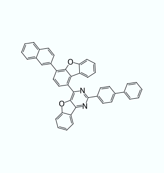 c1ccc(-c2ccc(-c3nc(-c4ccc(-c5ccc6ccccc6c5)c5oc6ccccc6c45)c4oc5ccccc5c4n3)cc2)cc1